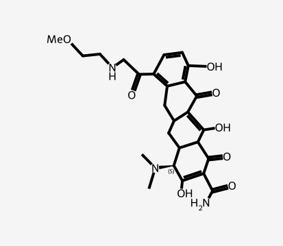 COCCNCC(=O)c1ccc(O)c2c1CC1CC3C(C(=O)C(C(N)=O)=C(O)[C@H]3N(C)C)C(O)=C1C2=O